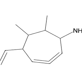 C=CC1C=C=CC(N)C(C)C1C